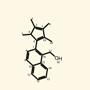 CC1=C(C)C(C)C(c2ccc3ccccc3c2CO)=C1C